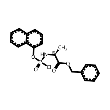 C[C@H](NP(=O)(Cl)Oc1cccc2ccccc12)C(=O)OCc1ccccc1